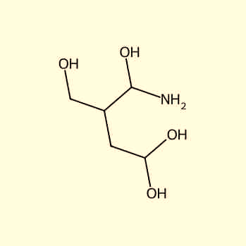 NC(O)C(CO)CC(O)O